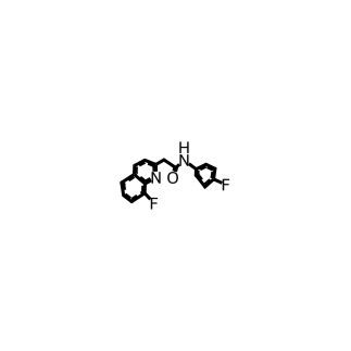 O=C(Cc1ccc2cccc(F)c2n1)Nc1ccc(F)cc1